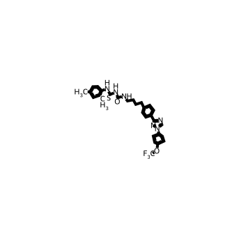 Cc1ccc(NC(=S)NC(=O)NCCCCc2ccc(-c3ncn(-c4ccc(OC(F)(F)F)cc4)n3)cc2)c(C)c1